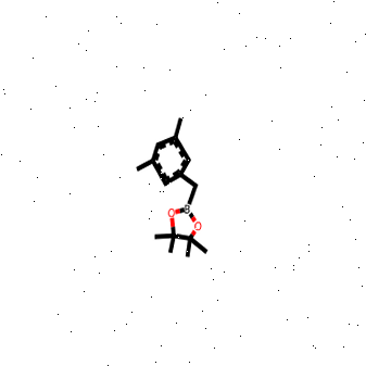 Cc1cc(C)cc(CB2OC(C)(C)C(C)(C)O2)c1